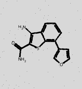 NC(=O)c1sc2c(-c3ccoc3)cccc2c1N